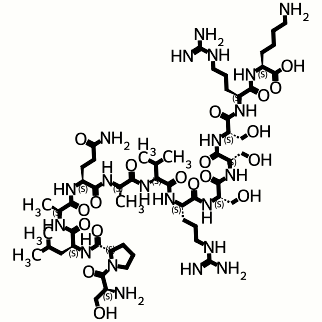 CC(C)C[C@H](NC(=O)[C@@H]1CCCN1C(=O)[C@@H](N)CO)C(=O)N[C@@H](C)C(=O)N[C@@H](CCC(N)=O)C(=O)N[C@@H](C)C(=O)N[C@H](C(=O)N[C@@H](CCCNC(=N)N)C(=O)N[C@@H](CO)C(=O)N[C@@H](CO)C(=O)N[C@@H](CO)C(=O)N[C@@H](CCCNC(=N)N)C(=O)N[C@@H](CCCCN)C(=O)O)C(C)C